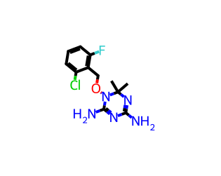 CC1(C)N=C(N)N=C(N)N1OCc1c(F)cccc1Cl